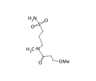 COCCC(=O)N(C)CCCS(N)(=O)=O